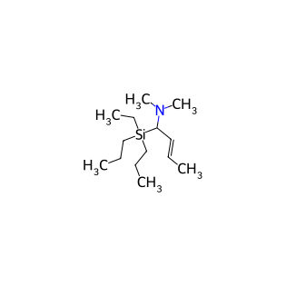 CC=CC(N(C)C)[Si](CC)(CCC)CCC